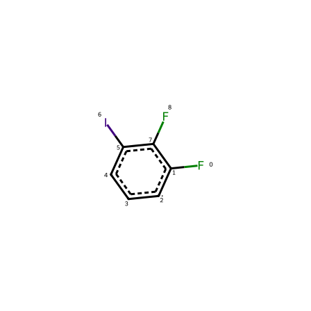 Fc1[c]ccc(I)c1F